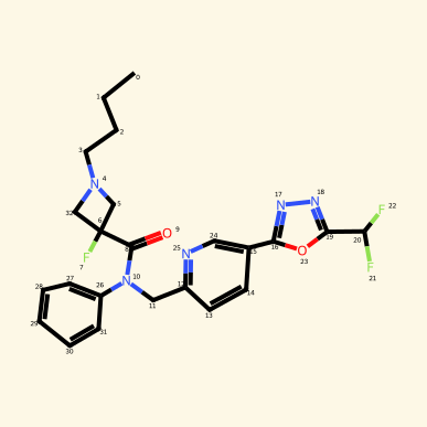 CCCCN1CC(F)(C(=O)N(Cc2ccc(-c3nnc(C(F)F)o3)cn2)c2ccccc2)C1